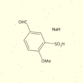 COc1ccc(C=O)cc1S(=O)(=O)O.[NaH]